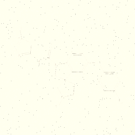 CC(=O)N1CCC2(C1)CN(C(=O)Nc1ncc(Cl)s1)c1ccc(Oc3ccc(F)cc3)cc12